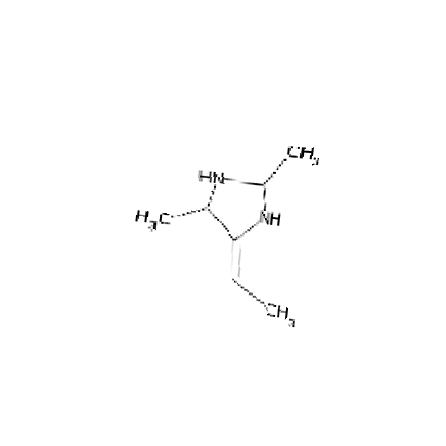 CC=C1NC(C)NC1C